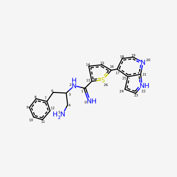 N=C(NC(CN)Cc1ccccc1)c1ccc(-c2ccnc3[nH]ccc23)s1